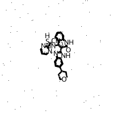 C[C@@](S)(Nc1c(-c2nc3ccc(C4CCOCC4)cc3[nH]2)c(=O)[nH]c2ccccc12)c1ncccn1